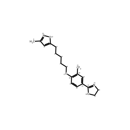 Cc1cc(CCCCCOc2ccc(C3=NCCO3)cc2C(F)(F)F)on1